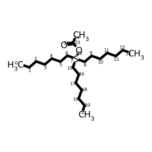 CCCCCCCS(CCCCCCC)(CCCCCCC)OC(C)=O